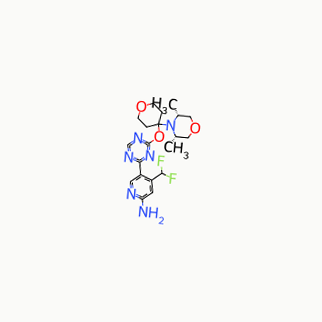 C[C@@H]1COC[C@H](C)N1C1(Oc2ncnc(-c3cnc(N)cc3C(F)F)n2)CCOCC1